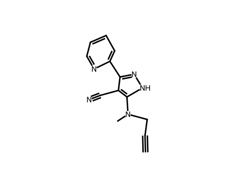 C#CCN(C)c1[nH]nc(-c2ccccn2)c1C#N